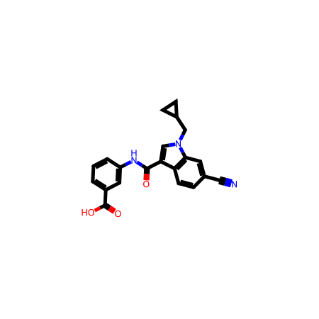 N#Cc1ccc2c(C(=O)Nc3cccc(C(=O)O)c3)cn(CC3CC3)c2c1